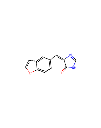 O=C1NC=NC1=Cc1ccc2occc2c1